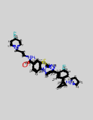 O=C(NCCCN1CCC(F)CC1)c1ccc2c(c1)sc1nc(-c3cc(C4CC4)c([C@@H]4CCCN4)cc3F)cn12